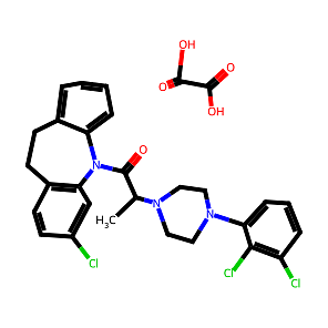 CC(C(=O)N1c2ccccc2CCc2ccc(Cl)cc21)N1CCN(c2cccc(Cl)c2Cl)CC1.O=C(O)C(=O)O